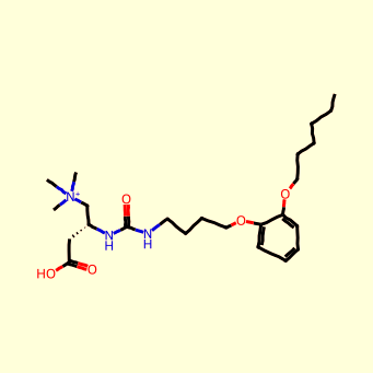 CCCCCCOc1ccccc1OCCCCNC(=O)N[C@H](CC(=O)O)C[N+](C)(C)C